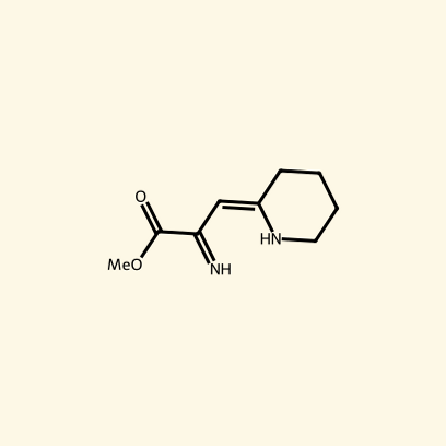 COC(=O)C(=N)/C=C1/CCCCN1